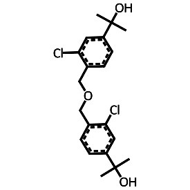 CC(C)(O)c1ccc(COCc2ccc(C(C)(C)O)cc2Cl)c(Cl)c1